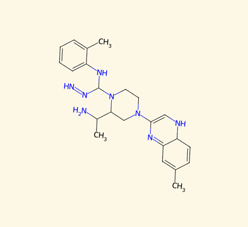 CC1=CC2=NC(N3CCN(C(N=N)Nc4ccccc4C)C(C(C)N)C3)=CNC2C=C1